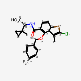 CC1=C(Cl)SC2C=CC(C(=O)N[C@H](C(=O)O)C3(C)CC3)=C(OCc3ccc(C(F)(F)F)cc3)C12